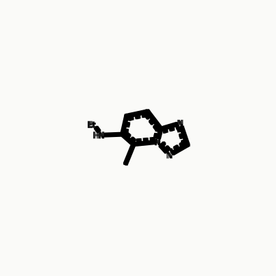 CCNc1ccc2ncnn2c1C